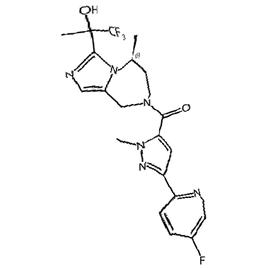 C[C@H]1CN(C(=O)c2cc(-c3ccc(F)cn3)nn2C)Cc2cnc(C(C)(O)C(F)(F)F)n21